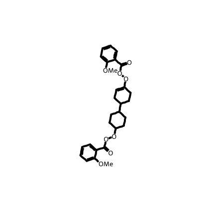 COc1ccccc1C(=O)OOC1=CCC(C2CCC(OOC(=O)c3ccccc3OC)CC2)CC1